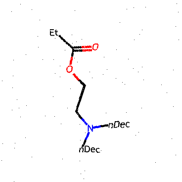 CCCCCCCCCCN(CCCCCCCCCC)CCOC(=O)CC